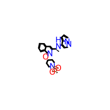 C[C@H](Nc1ccnn2cccc12)c1cc2ccccc2c(OC2CCN(S(C)(=O)=O)CC2)n1